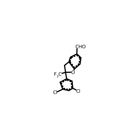 O=Cc1ccc2c(c1)CC(c1cc(Cl)cc(Cl)c1)(C(F)(F)F)O2